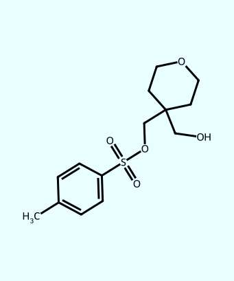 Cc1ccc(S(=O)(=O)OCC2(CO)CCOCC2)cc1